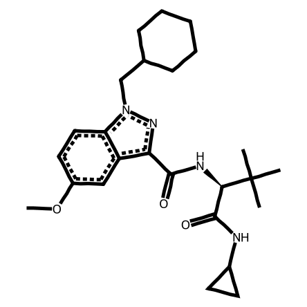 COc1ccc2c(c1)c(C(=O)N[C@H](C(=O)NC1CC1)C(C)(C)C)nn2CC1CCCCC1